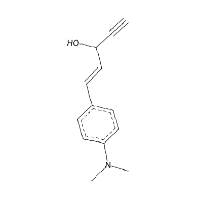 C#CC(O)C=Cc1ccc(N(C)C)cc1